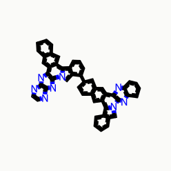 c1ccc2cc3c(cc2c1)c1nc2nccnc2nc1n1cc2c(-c4ccc5cc6c(cc5c4)c4nc5ccccc5nc4n4cc5ccccc5c64)cccc2c31